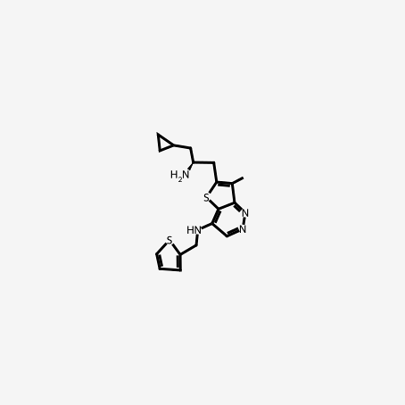 Cc1c(C[C@@H](N)CC2CC2)sc2c(NCc3cccs3)cnnc12